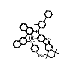 Cc1cc(-c2ccccc2)ccc1N1c2cc3oc4cc5c(cc4c3cc2Bc2c1cc1ccccc1c2-c1cc2ccccc2cc1Nc1ccc(C(C)(C)C)cc1)C(C)(C)CCC5(C)C